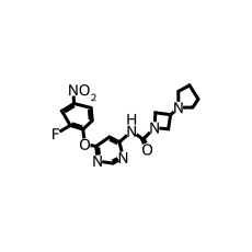 O=C(Nc1cc(Oc2ccc([N+](=O)[O-])cc2F)ncn1)N1CC(N2CCCC2)C1